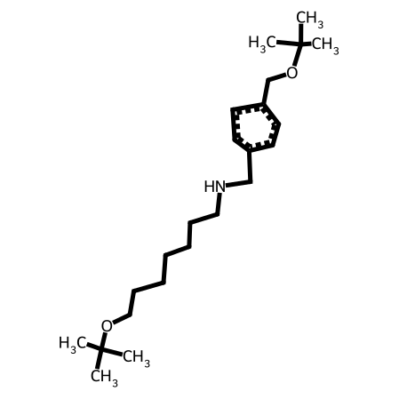 CC(C)(C)OCCCCCCCNCc1ccc(COC(C)(C)C)cc1